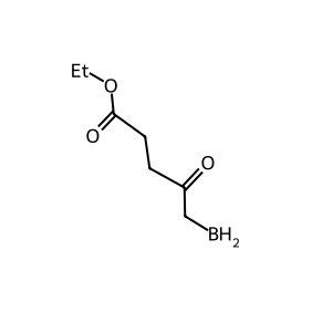 BCC(=O)CCC(=O)OCC